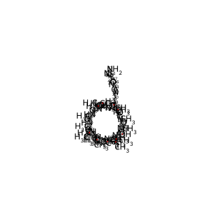 C/C=C/C[C@@H](C)[C@@H](O)[C@H]1C(=O)N[C@@H](CC)C(=O)N(C)CC(=O)N(C)[C@@H]([C@@H](C)OCCC/C=N/OCc2ccc(-c3cnc(N)s3)cn2)C(=O)N[C@@H](C(C)C)C(=O)N(C)[C@@H](CC(C)C)C(=O)N[C@@H](C)C(=O)N[C@H](C)C(=O)N(C)[C@@H](CC(C)C)C(=O)N(C)[C@@H](CC(C)C)C(=O)N(C)[C@H](C(C)C)C(=O)N1C